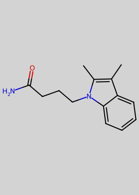 Cc1c(C)n(CCCC(N)=O)c2ccccc12